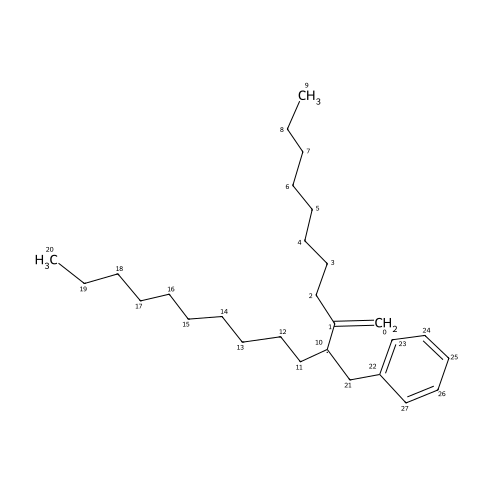 C=C(CCCCCCCC)[C](CCCCCCCCCC)Cc1ccccc1